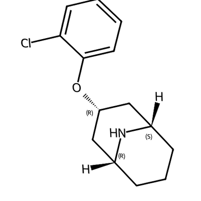 Clc1ccccc1O[C@H]1C[C@H]2CCC[C@@H](C1)N2